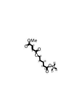 COC(=O)/C=C/C(=O)OCCCCC(=O)O[Si](C)(C)C